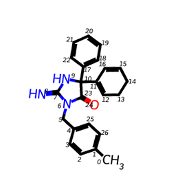 Cc1ccc(CN2C(=N)NC(C3=CCCC=C3)(c3ccccc3)C2=O)cc1